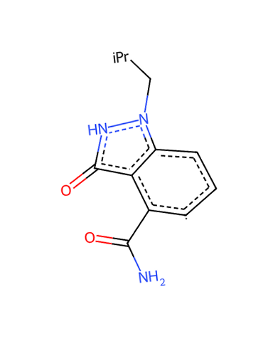 CC(C)Cn1[nH]c(=O)c2c(C(N)=O)[c]ccc21